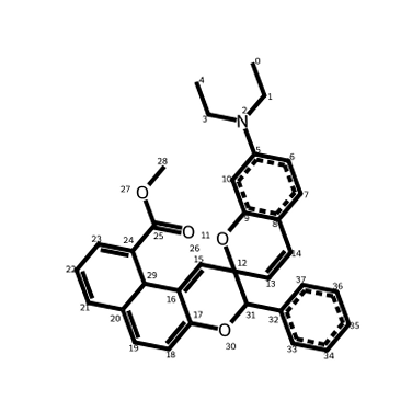 CCN(CC)c1ccc2c(c1)OC1(C=C2)C=C2C(=CC=C3C=CC=C(C(=O)OC)C32)OC1c1ccccc1